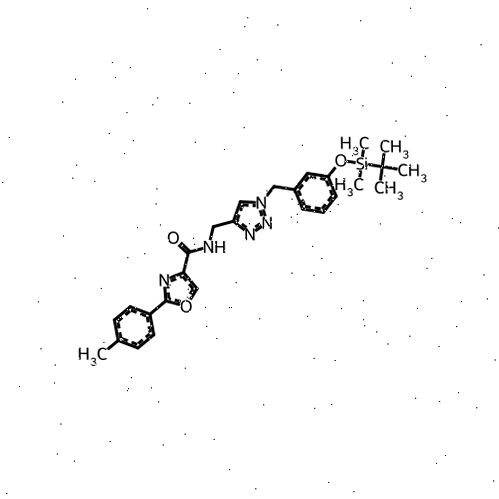 Cc1ccc(-c2nc(C(=O)NCc3cn(Cc4cccc(O[Si](C)(C)C(C)(C)C)c4)nn3)co2)cc1